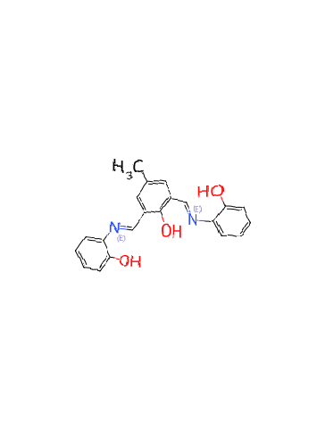 Cc1cc(/C=N/c2ccccc2O)c(O)c(/C=N/c2ccccc2O)c1